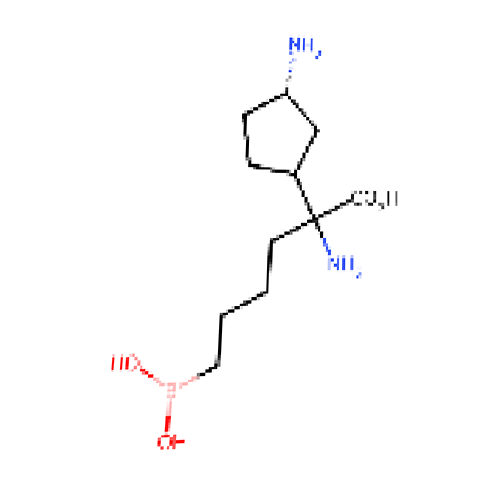 N[C@H]1CCC(C(N)(CCCCB(O)O)C(=O)O)C1